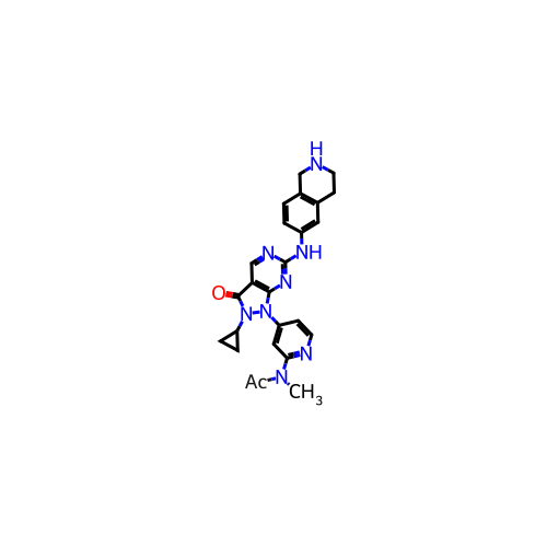 CC(=O)N(C)c1cc(-n2c3nc(Nc4ccc5c(c4)CCNC5)ncc3c(=O)n2C2CC2)ccn1